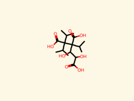 CC(C)C(C(=O)O)(C(C)C)C(C(=O)O)(C(C)C)C(O)C(O)C(=O)O